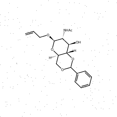 C=CCO[C@@H]1O[C@@H]2COC(c3ccccc3)O[C@H]2[C@H](O)[C@H]1NC(C)=O